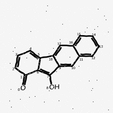 O=C1C=CC=C2C1=C(O)c1cc3ccccc3cc12